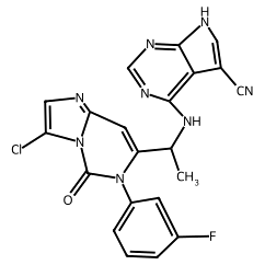 CC(Nc1ncnc2[nH]cc(C#N)c12)c1cc2ncc(Cl)n2c(=O)n1-c1cccc(F)c1